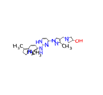 C=C(/C=C\C1=C(C)CCN1C)NC1N=C(n2cc(CN3CC(O)C3)c(C)n2)C=CN1